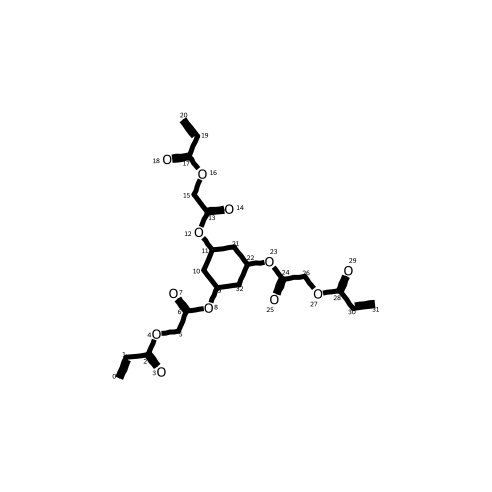 C=CC(=O)OCC(=O)OC1CC(OC(=O)COC(=O)C=C)CC(OC(=O)COC(=O)C=C)C1